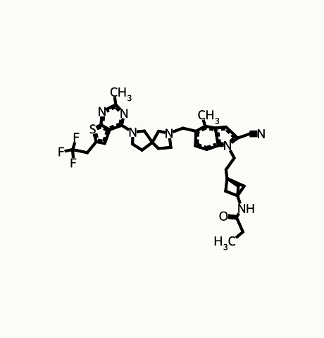 CCC(=O)NC12CC(CCn3c(C#N)cc4c(C)c(CN5CCC6(CCN(c7nc(C)nc8sc(CC(F)(F)F)cc78)C6)C5)ccc43)(C1)C2